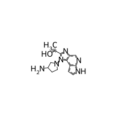 C[C@@H](O)c1nc2cnc3[nH]ccc3c2n1N1CCC(N)C1